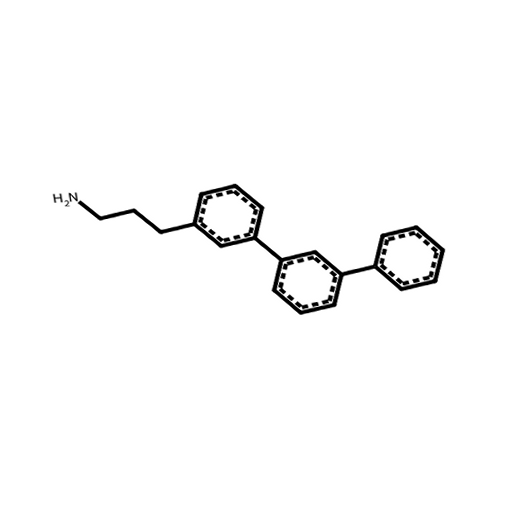 NCCCc1cccc(-c2cccc(-c3ccccc3)c2)c1